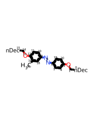 CCCCCCCCCCCOc1ccc(N=Nc2ccc(OCCCCCCCCCCC)c(C)c2)cc1